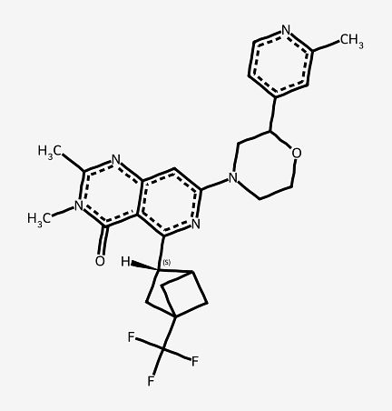 Cc1cc(C2CN(c3cc4nc(C)n(C)c(=O)c4c([C@H]4CC5(C(F)(F)F)CC4C5)n3)CCO2)ccn1